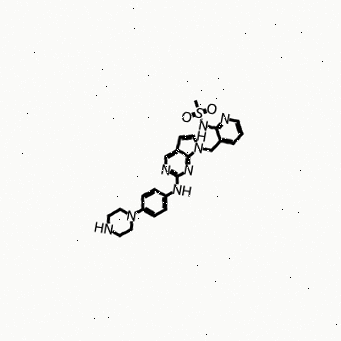 CS(=O)(=O)Nc1ncccc1Cn1ccc2cnc(Nc3ccc(N4CCNCC4)cc3)nc21